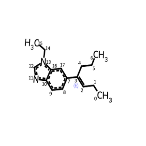 CC/C=C(\CCC)c1ccc2ncn(CC)c2c1